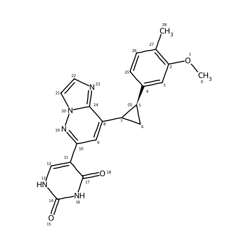 COc1cc([C@H]2CC2c2cc(-c3c[nH]c(=O)[nH]c3=O)nn3ccnc23)ccc1C